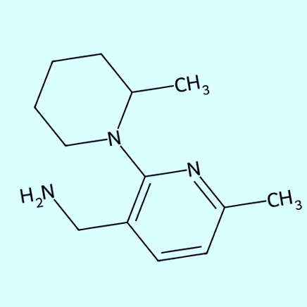 Cc1ccc(CN)c(N2CCCCC2C)n1